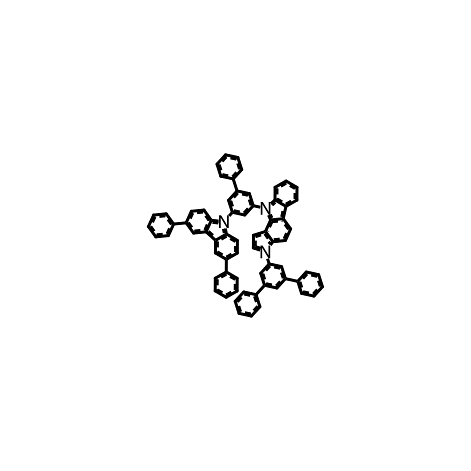 c1ccc(-c2cc(-c3ccccc3)cc(-n3ccc4c3ccc3c5ccccc5n(-c5cc(-c6ccccc6)cc(-n6c7ccc(-c8ccccc8)cc7c7cc(-c8ccccc8)ccc76)c5)c34)c2)cc1